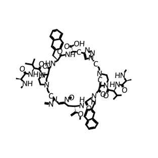 C=NN1/C=C(\N=O)C[C@@H](C(=C)OC)NC(=O)[C@H](Cc2ccc3ccccc3c2)NC(=O)[C@@H]2CN(CCN2C(=O)[C@@H](NC(=O)[C@H](C)NC)C(C)C)CCn2cc(nn2)C[C@@H](C(=O)O)NC(=O)[C@H](Cc2ccc3ccccc3c2)NC(=O)[C@@H]2CN(CC1)CCN2C(=O)[C@@H](NC(=O)[C@H](C)NC)C(C)C